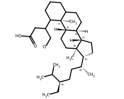 CC[C@H](CC[C@@H](C)[C@H]1CC[C@H]2[C@@H]3CCC4CCCC(C(CCl)CC(=O)O)[C@]4(C)[C@H]3CC[C@]12C)C(C)C